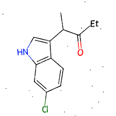 CCC(=O)C(C)c1c[nH]c2cc(Cl)ccc12